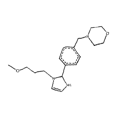 COCCCN1C=CNC1c1ccc(CN2CCOCC2)cc1